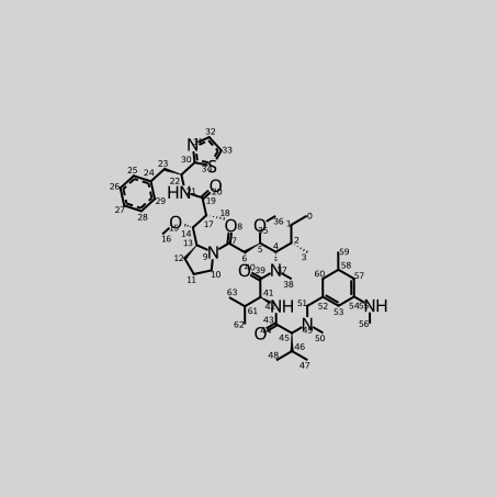 CC[C@H](C)[C@@H]([C@@H](CC(=O)N1CCC[C@H]1[C@H](OC)[C@@H](C)C(=O)N[C@@H](Cc1ccccc1)c1nccs1)OC)N(C)C(=O)[C@@H](NC(=O)[C@H](C(C)C)N(C)CC1=CC(NC)=CC(C)C1)C(C)C